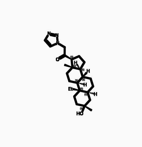 CC[C@]12CC[C@@](C)(O)C[C@@H]1CC[C@H]1[C@@H]3CC[C@H](C(=O)Cn4ccnn4)[C@@]3(C)CC[C@@H]12